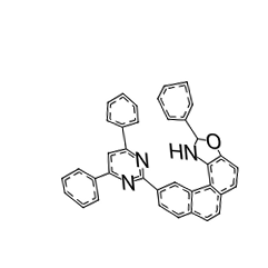 c1ccc(-c2cc(-c3ccccc3)nc(-c3ccc4ccc5ccc6c(c5c4c3)NC(c3ccccc3)O6)n2)cc1